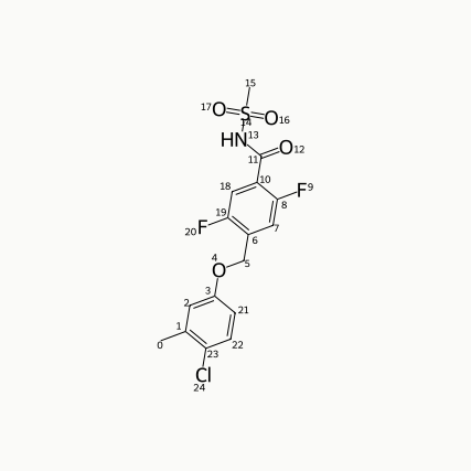 Cc1cc(OCc2cc(F)c(C(=O)NS(C)(=O)=O)cc2F)ccc1Cl